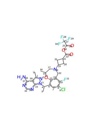 Cc1nn(C(C)c2cc(Cl)c(F)c3c2OC(C)CN(C2CC(C(=O)OC(=O)C(F)(F)F)C2)C3)c2ncnc(N)c12